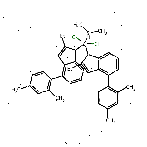 CCC1=Cc2c(-c3ccc(C)cc3C)cccc2[CH]1[Zr]([Cl])([Cl])([CH]1C(CC)=Cc2c(-c3ccc(C)cc3C)cccc21)[SiH](C)C